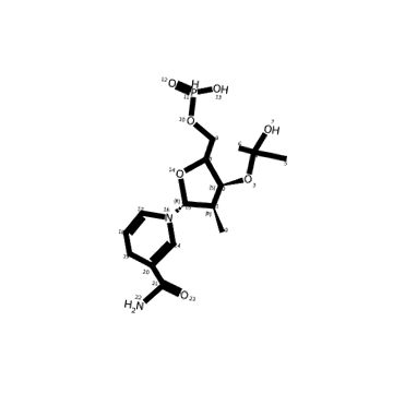 C[C@@H]1[C@H](OC(C)(C)O)C(CO[PH](=O)O)O[C@H]1N1C=CCC(C(N)=O)=C1